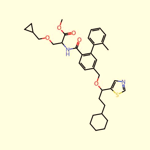 COC(=O)C(COCC1CC1)NC(=O)c1ccc(COC(CCC2CCCCC2)c2cncs2)cc1-c1ccccc1C